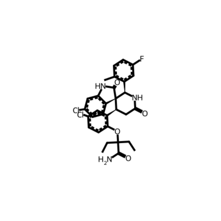 CCC(CC)(Oc1ccc(Cl)cc1[C@@H]1CC(=O)N[C@H](c2cc(F)ccc2C)[C@@]12C(=O)Nc1cc(Cl)ccc12)C(N)=O